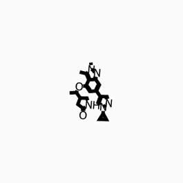 Cc1c2c(OC(C)C3CNC(=O)C3)cc(-c3cnn(C4CC4)c3)cc2nn1C